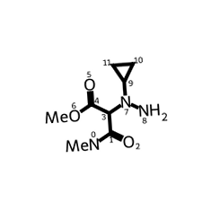 CNC(=O)C(C(=O)OC)N(N)C1CC1